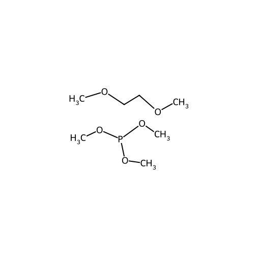 COCCOC.COP(OC)OC